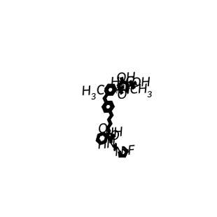 Cc1ccc([C@]23CC(O)C[C@](C(C)(C)O)(CO2)O3)cc1Cc1ccc(CCCC(=O)NC2(C(=O)NCCN3CCC(F)C3)CCCCC2)cc1